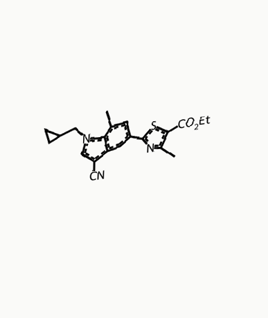 CCOC(=O)c1sc(-c2cc(C)c3c(c2)c(C#N)cn3CC2CC2)nc1C